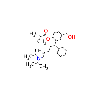 CC(C)C(=O)Oc1ccc(CO)cc1[C@H](CCCCN(C(C)C)C(C)C)c1ccccc1